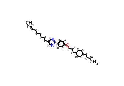 CCCCCCCCCCc1cnc(-c2ccc(OCCCC3CCC(CCCC)CC3)cc2)nc1